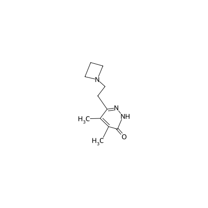 Cc1c(CCN2CCC2)n[nH]c(=O)c1C